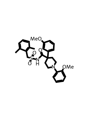 COc1cccc(C2(C(=O)NS(=O)(=O)Cc3c(C)cccc3C)CCN(c3ccccc3OC)CC2)c1